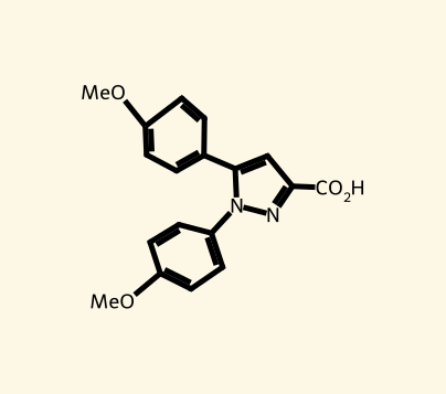 COc1ccc(-c2cc(C(=O)O)nn2-c2ccc(OC)cc2)cc1